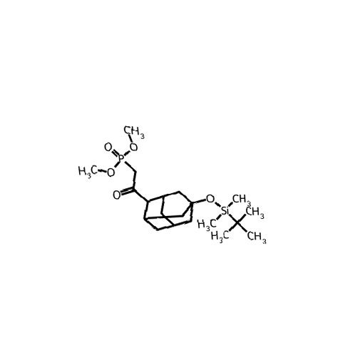 COP(=O)(CC(=O)C1C2CC3CC1CC(O[Si](C)(C)C(C)(C)C)(C3)C2)OC